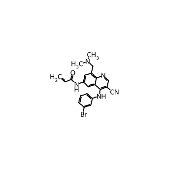 C=CC(=O)Nc1cc(CN(C)C)c2ncc(C#N)c(Nc3cccc(Br)c3)c2c1